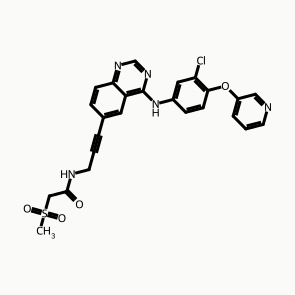 CS(=O)(=O)CC(=O)NCC#Cc1ccc2ncnc(Nc3ccc(Oc4cccnc4)c(Cl)c3)c2c1